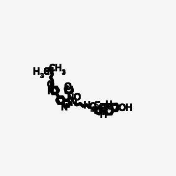 CN(C)CCCOc1ccc(-c2ccc3ncc4c(c3c2)n(C2CCOCC2)c(=O)n4CCCCCO[C@H]2CC[C@H]3[C@@H]4CCc5cc(O)ccc5[C@H]4CC[C@]23C)cn1